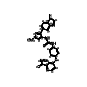 CNC(=O)c1cc(Oc2ccc(NC(=O)Nc3cn(C(C)(C)C)nc3-c3ccc4[nH]cnc4c3)cc2)ccn1